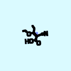 CCO/C(CC)=C(/C#N)C(=O)O